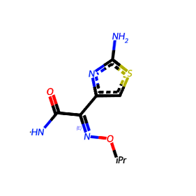 CC(C)O/N=C(/C([NH])=O)c1csc(N)n1